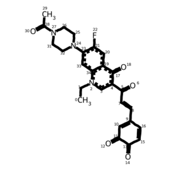 CCn1cc(C(=O)C=CC2=CC(=O)C(=O)C=C2)c(=O)c2cc(F)c(N3CCN(C(C)=O)CC3)cc21